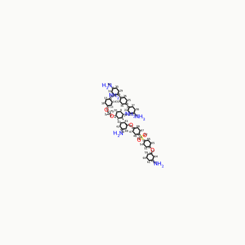 C[Si](C)(Oc1ccc(N)cc1)Oc1ccc(N)cc1.Nc1ccc(-c2ccc(-c3ccc(N)cc3)cc2)cc1.Nc1cccc(Oc2ccc(S(=O)(=O)c3ccc(Oc4cccc(N)c4)cc3)cc2)c1